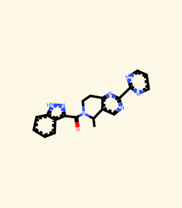 CC1c2cnc(-c3ncccn3)nc2CCN1C(=O)c1n[nH]c2ccccc12